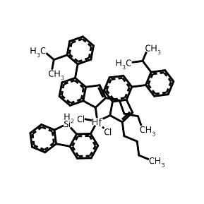 CCCCC1=Cc2c(-c3ccccc3C(C)C)cccc2[CH]1[Hf]([Cl])([Cl])([c]1cccc2c1[SiH2]c1ccccc1-2)[CH]1C(CCCC)=Cc2c(-c3ccccc3C(C)C)cccc21